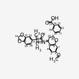 COc1ccc2c(c1)O[C@@H](c1cccc(C(=O)O)c1)C[C@H]2NC(=O)C(C)(C)c1ccc2c(c1)OCO2